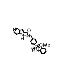 COc1ccccc1NS(=O)(=O)c1ccc(CNC(=O)c2cc3cnccc3[nH]2)cc1